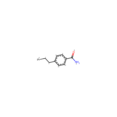 CC(C)CCc1ccc(C(N)=O)cc1